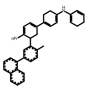 CCCC1=CC=C(C2=CC=C(NC3=CCCC=C3)CC2)CC1c1cc(-c2cccc3ccccc23)ccc1C